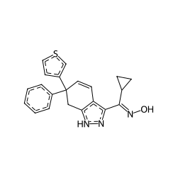 O/N=C(/c1n[nH]c2c1C=CC(c1ccccc1)(c1ccsc1)C2)C1CC1